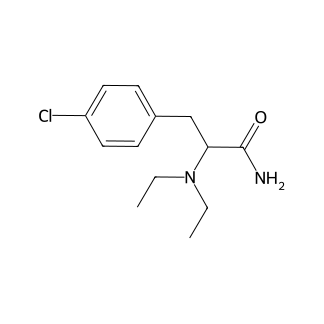 CCN(CC)C(Cc1ccc(Cl)cc1)C(N)=O